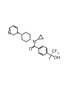 C[C@](O)(c1ccc(C(=O)N(C2CC2)[C@H]2CC[C@H](C3C=CC=NC3)CC2)cc1)C(F)(F)F